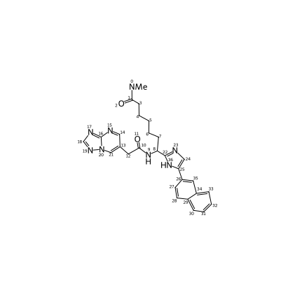 CNC(=O)CCCCCC(NC(=O)Cc1cnc2ncnn2c1)c1ncc(-c2ccc3ccccc3c2)[nH]1